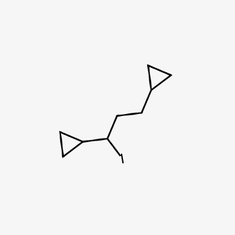 IC(CCC1CC1)C1CC1